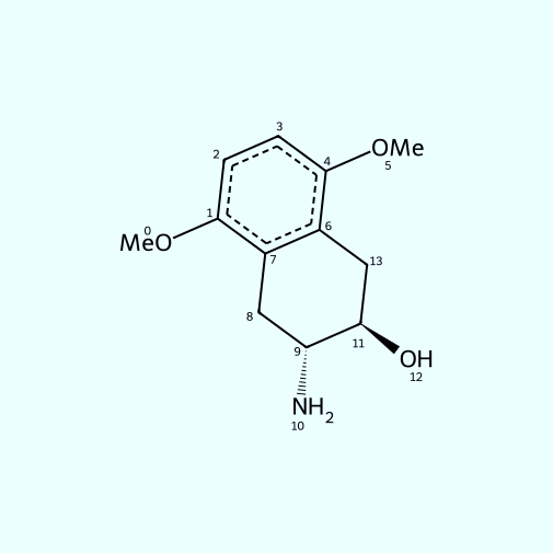 COc1ccc(OC)c2c1C[C@@H](N)[C@H](O)C2